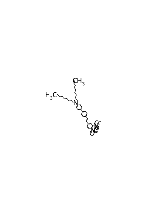 CCCCCCCCCN(CCCCCCCCC)c1ccc(-c2ccc(/C=C/c3ccc([N+](=O)[O-])c([N+](=O)[O-])c3)cc2)cc1